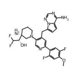 COc1cc(F)c(-c2cc(Cc3ccc4c(N)ncnn34)c(N3CCC[C@](N)([C@H](O)C(F)F)C3)cn2)cc1F